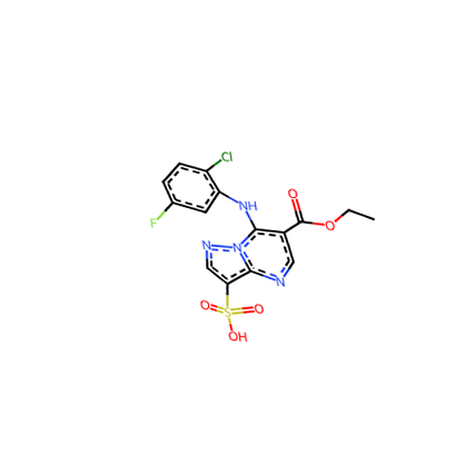 CCOC(=O)c1cnc2c(S(=O)(=O)O)cnn2c1Nc1cc(F)ccc1Cl